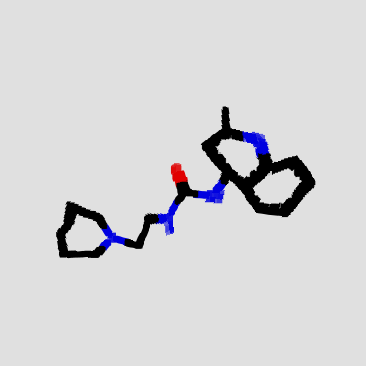 Cc1cc(NC(=O)NCCN2CCCCC2)c2ccccc2n1